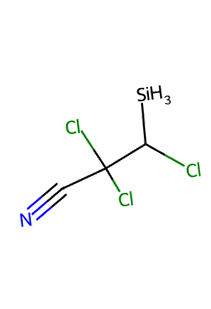 N#CC(Cl)(Cl)C([SiH3])Cl